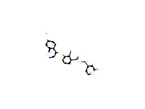 COc1ccc2c(Oc3cccc(C(=O)NCc4ccnc(Cl)c4F)c3C)ccnc2c1